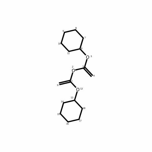 C=C(OC(=C)OC1CCCCC1)OC1CCCCC1